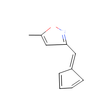 Cc1cc(C=C2C=CC=C2)no1